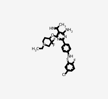 CCN1CCC(Oc2nc(-c3ccc(NSc4cc(Cl)ccc4F)cc3)nc(N)c2C(C)=N)C(F)(F)C1